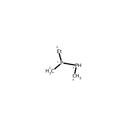 CCP(C)PC